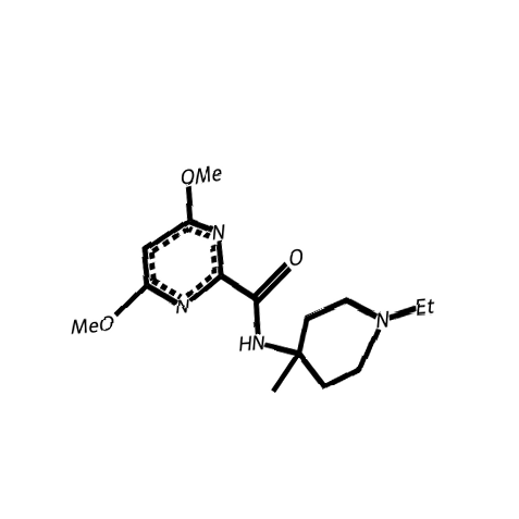 CCN1CCC(C)(NC(=O)c2nc(OC)cc(OC)n2)CC1